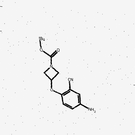 CC(C)(C)OC(=O)N1CC(Oc2ccc(N)cc2C#N)C1